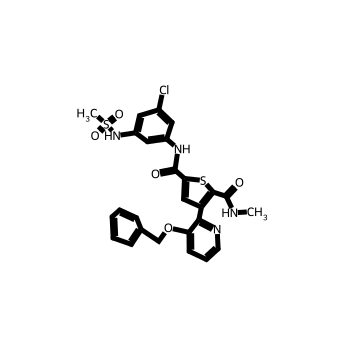 CNC(=O)c1sc(C(=O)Nc2cc(Cl)cc(NS(C)(=O)=O)c2)cc1-c1ncccc1OCc1ccccc1